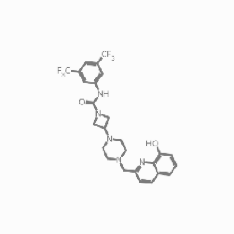 O=C(Nc1cc(C(F)(F)F)cc(C(F)(F)F)c1)N1CC(N2CCN(Cc3ccc4cccc(O)c4n3)CC2)C1